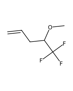 C=CCC(OC)C(F)(F)F